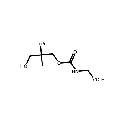 CCCC(C)(CO)COC(=O)NCC(=O)O